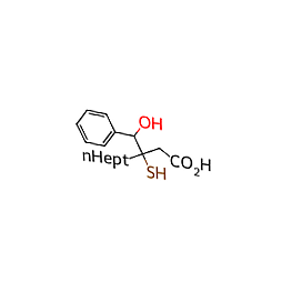 CCCCCCCC(S)(CC(=O)O)C(O)c1ccccc1